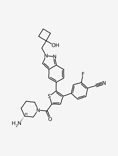 N#Cc1ccc(-c2cc(C(=O)N3CCC[C@@H](N)C3)sc2-c2ccc3nn(CC4(O)CCC4)cc3c2)cc1F